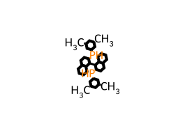 Cc1cc(C)cc(Pc2ccc3ccccc3c2-c2c(Pc3cc(C)cc(C)c3)ccc3ccccc23)c1